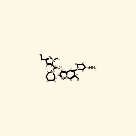 CCc1cc(C(=O)N2CCCC[C@H]2c2cc3cc(N4CC[C@H](N)C4)c(C)cn3n2)n(C)n1